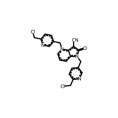 N#Cc1c2n(Cc3ccc(CCl)nc3)cccc-2n(Cc2ccc(CCl)nc2)c1=O